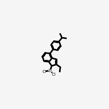 CCC1=Cc2c(-c3ccc(C(C)C)cc3)cccc2[CH]1[Zr]([Cl])[Cl]